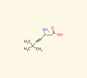 CC(C)(C)C#CC(N)CC(=O)O